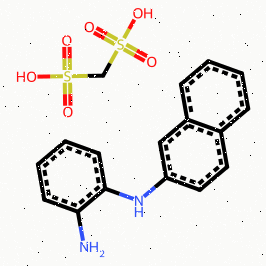 Nc1ccccc1Nc1ccc2ccccc2c1.O=S(=O)(O)CS(=O)(=O)O